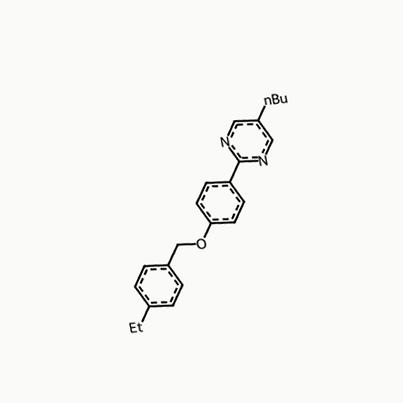 CCCCc1cnc(-c2ccc(OCc3ccc(CC)cc3)cc2)nc1